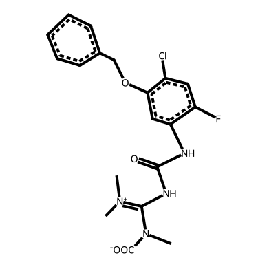 CN(C(=O)[O-])C(NC(=O)Nc1cc(OCc2ccccc2)c(Cl)cc1F)=[N+](C)C